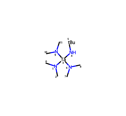 C[N](C)[Ta]([NH]C(C)(C)C)([N](C)C)[N](C)C